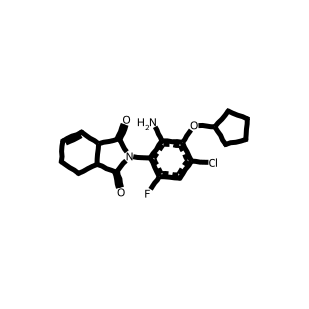 Nc1c(OC2CCCC2)c(Cl)cc(F)c1N1C(=O)C2C=CCCC2C1=O